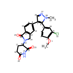 COc1ccc(-c2c(-c3ccc4c(c3)CN(C3CCC(=O)NC3=O)C4=O)cnn2C)cc1Cl